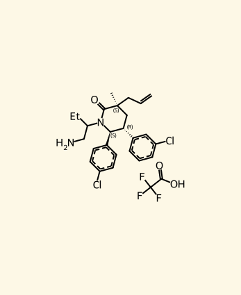 C=CC[C@@]1(C)C[C@H](c2cccc(Cl)c2)[C@@H](c2ccc(Cl)cc2)N(C(CC)CN)C1=O.O=C(O)C(F)(F)F